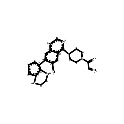 C=CC(=O)N1CCN(c2ncnc3cc(-c4cccc5c4OCCO5)c(Cl)cc23)CC1